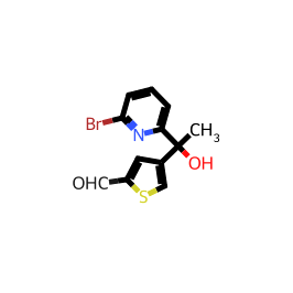 CC(O)(c1csc(C=O)c1)c1cccc(Br)n1